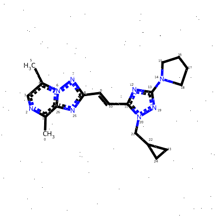 Cc1ncc(C)n2nc(/C=C/c3nc(N4CCCC4)nn3CC3CC3)nc12